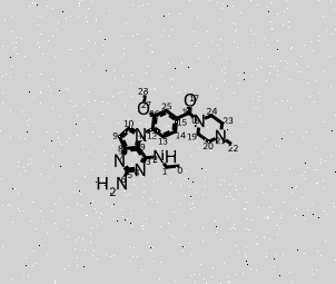 CCNc1nc(N)nc2ccn(-c3ccc(C(=O)N4CCN(C)CC4)cc3OC)c12